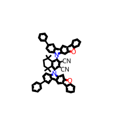 CC1(C)CCC(C)(C)c2c(-n3c4ccc(-c5ccccc5)cc4c4cc5c(cc43)oc3ccccc35)c(C#N)c(C#N)c(-n3c4ccc(-c5ccccc5)cc4c4cc5c(cc43)oc3ccccc35)c21